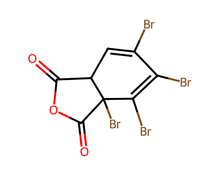 O=C1OC(=O)C2(Br)C(Br)=C(Br)C(Br)=CC12